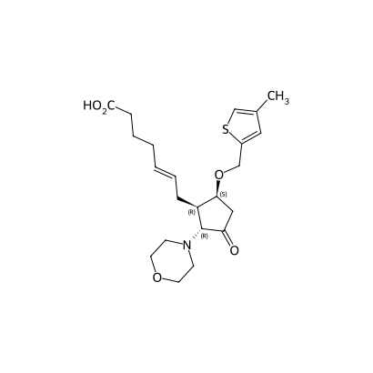 Cc1csc(CO[C@H]2CC(=O)[C@H](N3CCOCC3)[C@H]2CC=CCCCC(=O)O)c1